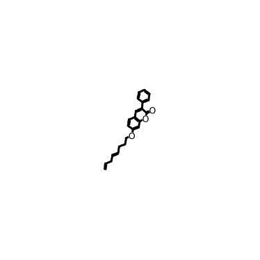 C=CCC=CCCCOc1ccc2cc(-c3ccccc3)c(=O)oc2c1